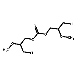 COC(CCl)COC(=O)OCC(CCl)OC